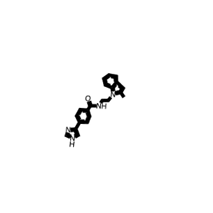 Cc1cc2ccccc2n1CCNC(=O)c1ccc(-c2c[nH]cn2)cc1